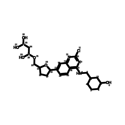 OC1CCCC(CNc2nc(Cl)nc3cc(C4CCC(COP(O)CP(O)O)O4)ccc23)C1